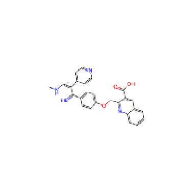 CN/C=C(\C(=N)c1ccc(OCc2nc3ccccc3cc2C(=O)O)cc1)c1ccncc1